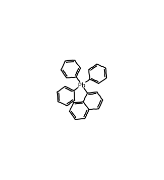 c1cc[c]([Pb]([c]2ccccc2)([c]2ccccc2)[c]2cccc3ccccc23)cc1